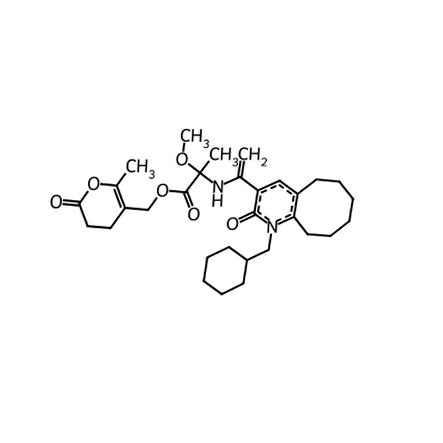 C=C(NC(C)(OC)C(=O)OCC1=C(C)OC(=O)CC1)c1cc2c(n(CC3CCCCC3)c1=O)CCCCCC2